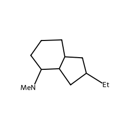 CCC1CC2CCCC(NC)C2C1